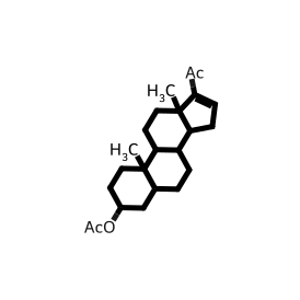 CC(=O)OC1CCC2(C)C(CCC3C4CC=C(C(C)=O)C4(C)CCC32)C1